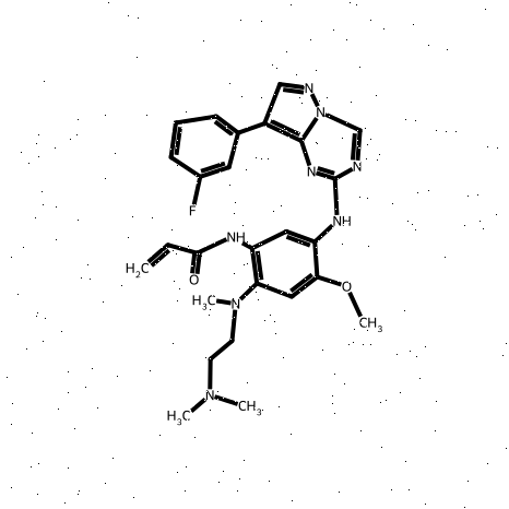 C=CC(=O)Nc1cc(Nc2ncn3ncc(-c4cccc(F)c4)c3n2)c(OC)cc1N(C)CCN(C)C